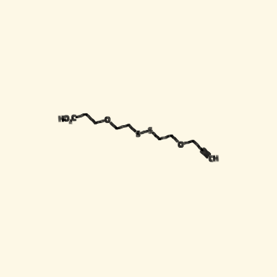 C#CCOCCSSCCOCCC(=O)O